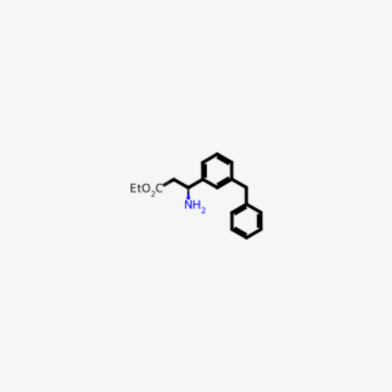 CCOC(=O)C[C@H](N)c1cccc(Cc2ccccc2)c1